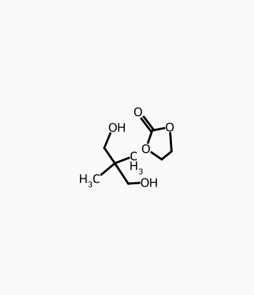 CC(C)(CO)CO.O=C1OCCO1